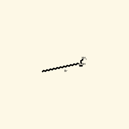 CCCCCCCCCCCCCCCCCCCCCC[n+]1cc[nH]c1CCN.[Br-]